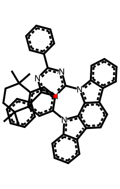 CC1(C)CCC(C)(C)c2cc(-n3c4ccccc4c4ccc5c6ccccc6n(-c6nc(-c7ccccc7)nc(-c7ccccc7)n6)c5c43)ccc21